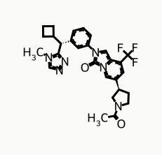 CC(=O)N1CC[C@H](c2cc(C(F)(F)F)c3cn(-c4cccc([C@H](c5nncn5C)C5CCC5)c4)c(=O)n3c2)C1